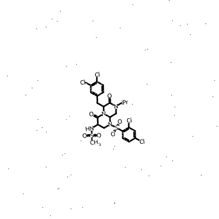 CC(C)N1CC2N(C(=O)C(NS(C)(=O)=O)CN2S(=O)(=O)c2ccc(Cl)cc2Cl)C(Cc2ccc(Cl)c(Cl)c2)C1=O